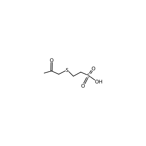 CC(=O)CSCCS(=O)(=O)O